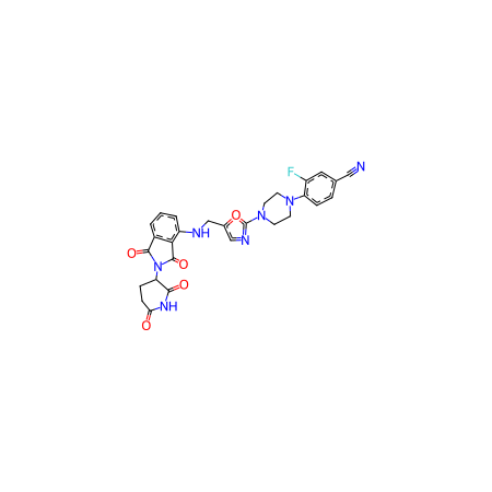 N#Cc1ccc(N2CCN(c3ncc(CNc4cccc5c4C(=O)N(C4CCC(=O)NC4=O)C5=O)o3)CC2)c(F)c1